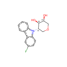 O[C@H]1[C@@H](O)COC[C@@H]1n1c2ccccc2c2cc(F)ccc21